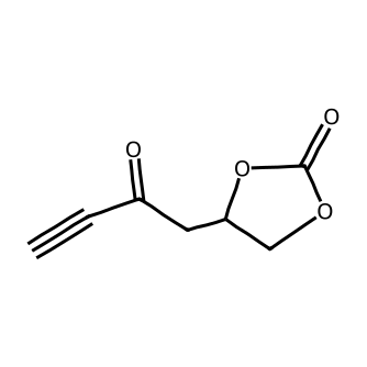 C#CC(=O)CC1COC(=O)O1